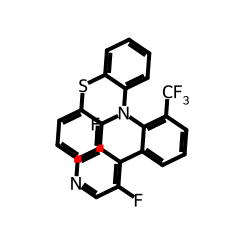 Fc1cncc(F)c1-c1cccc(C(F)(F)F)c1N1c2ccccc2Sc2ccccc21